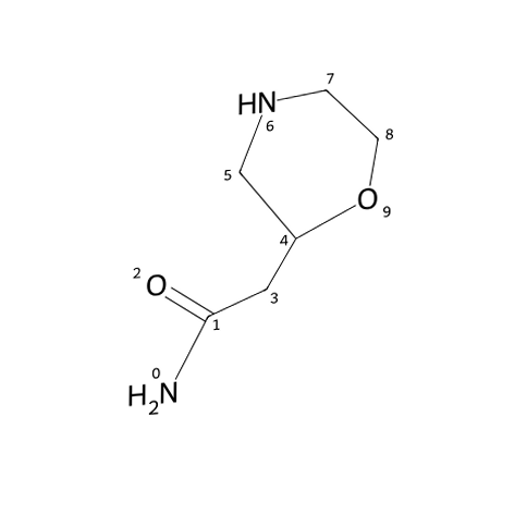 NC(=O)CC1CNCCO1